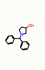 OC1CCN(C(c2ccccc2)c2ccccc2)C1